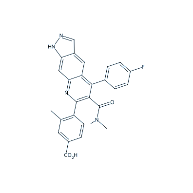 Cc1cc(C(=O)O)ccc1-c1nc2cc3[nH]ncc3cc2c(-c2ccc(F)cc2)c1C(=O)N(C)C